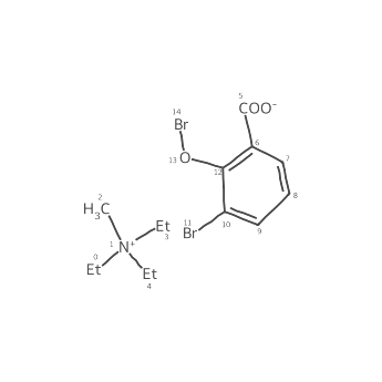 CC[N+](C)(CC)CC.O=C([O-])c1cccc(Br)c1OBr